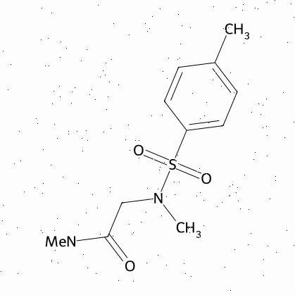 CNC(=O)CN(C)S(=O)(=O)c1ccc(C)cc1